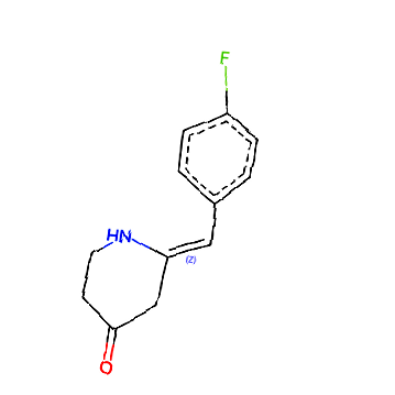 O=C1CCN/C(=C\c2ccc(F)cc2)C1